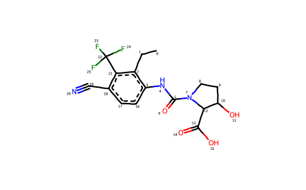 CCc1c(NC(=O)N2CCC(O)C2C(=O)O)ccc(C#N)c1C(F)(F)F